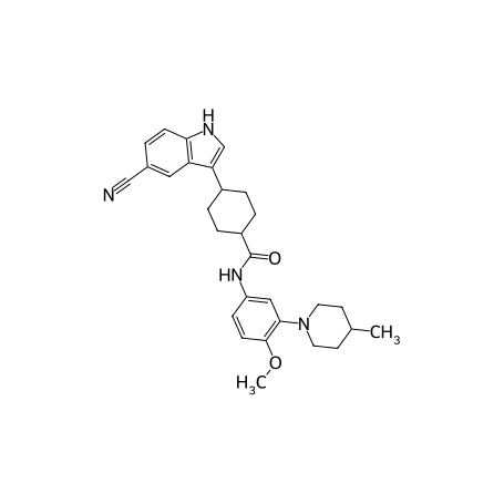 COc1ccc(NC(=O)C2CCC(c3c[nH]c4ccc(C#N)cc34)CC2)cc1N1CCC(C)CC1